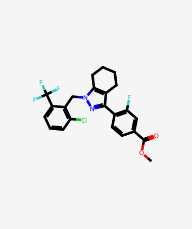 COC(=O)c1ccc(-c2nn(Cc3c(Cl)cccc3C(F)(F)F)c3c2CCCC3)c(F)c1